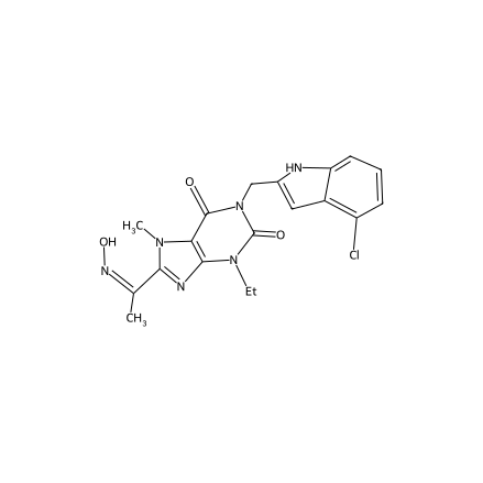 CCn1c(=O)n(Cc2cc3c(Cl)cccc3[nH]2)c(=O)c2c1nc(/C(C)=N\O)n2C